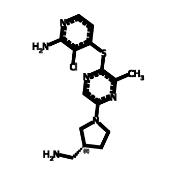 Cc1nc(N2CC[C@H](CN)C2)cnc1Sc1ccnc(N)c1Cl